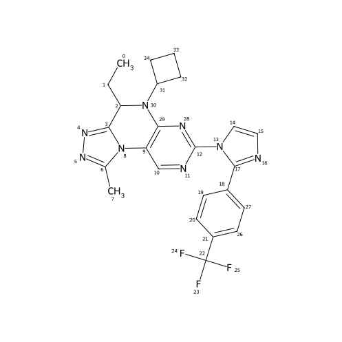 CCC1c2nnc(C)n2-c2cnc(-n3ccnc3-c3ccc(C(F)(F)F)cc3)nc2N1C1CCC1